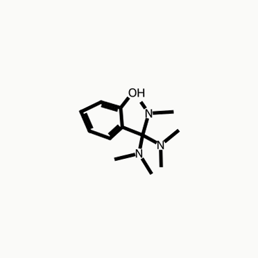 CN(C)C(c1ccccc1O)(N(C)C)N(C)C